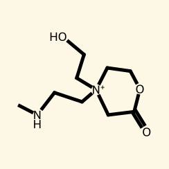 CNCC[N+]1(CCO)CCOC(=O)C1